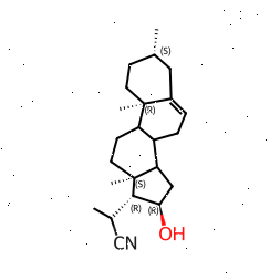 CC(C#N)[C@H]1[C@H](O)CC2C3CC=C4C[C@@H](C)CC[C@]4(C)C3CC[C@@]21C